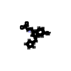 O=[N+]([O-])/C=C/c1cn(CC2CCCC2)c2cc(Br)ccc12